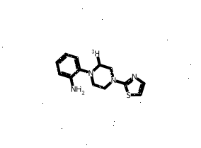 [3H]C1CN(c2nccs2)CCN1c1ccccc1N